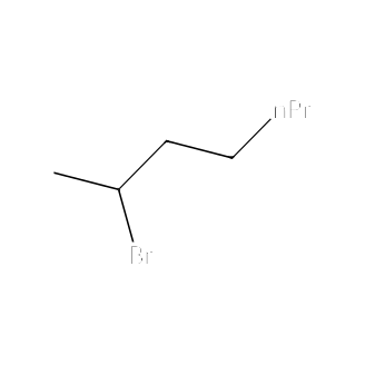 C[CH]CCCC(C)Br